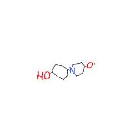 [O]C1CCN(C2CCCC(O)CCC2)CC1